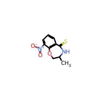 CC1COc2c(cccc2[N+](=O)[O-])C(=S)N1